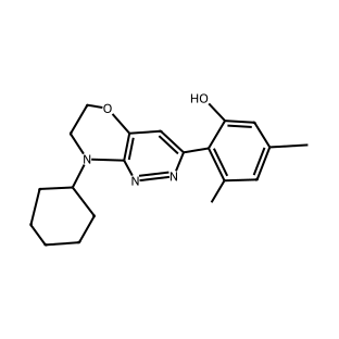 Cc1cc(C)c(-c2cc3c(nn2)N(C2CCCCC2)CCO3)c(O)c1